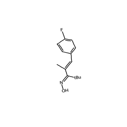 CC(=C\c1ccc(F)cc1)/C(=N/O)C(C)(C)C